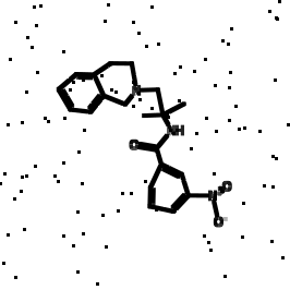 CC(C)(CN1CCc2ccccc2C1)NC(=O)c1cccc([N+](=O)[O-])c1